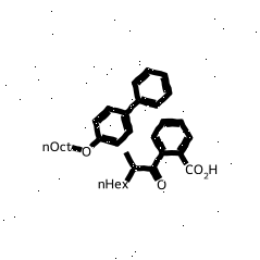 CCCCCCC(C)C(=O)c1ccccc1C(=O)O.CCCCCCCCOc1ccc(-c2ccccc2)cc1